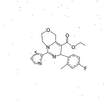 CCOC(=O)C1=C2COCCN2C(c2nccs2)=NC1c1ccc(F)cc1C